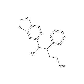 CNCCC(c1ccccc1)N(C)c1ccc2c(c1)OCO2